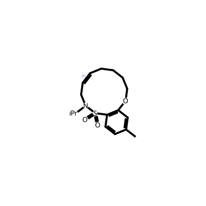 Cc1ccc2c(c1)OCCCC/C=C\CN(C(C)C)S2(=O)=O